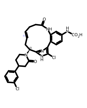 O=C(O)Nc1ccc2c(c1)NC(=O)CC/C=C/C[C@H](N1CCC(c3cccc(Cl)c3)CC1=O)c1nc-2c(Cl)[nH]1